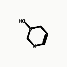 ON1CC=C[N]C1